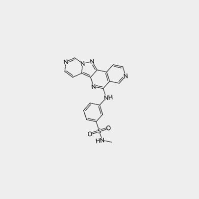 CNS(=O)(=O)c1cccc(Nc2nc3c(nn4cnccc34)c3ccncc23)c1